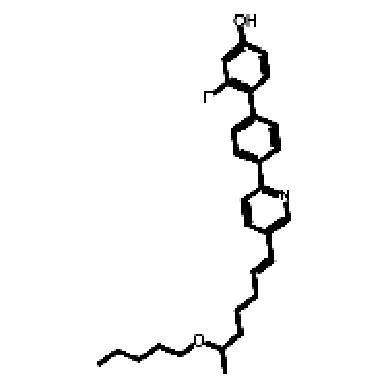 CCCCCOC(C)CCCC=Cc1ccc(-c2ccc(-c3ccc(O)cc3F)cc2)nc1